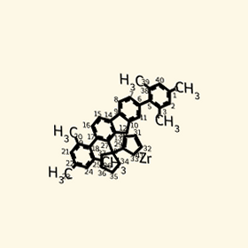 Cc1cc(C)c(-c2ccc3c(c2)Cc2c-3ccc(-c3c(C)cc(C)cc3C)c2C2(C3=CC=CC3)CCCC2)c(C)c1.[Zr]